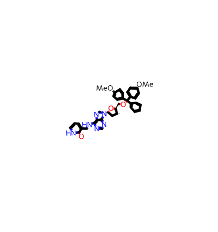 COc1ccc(C(OC[C@H]2[CH]C[C@H](n3cnc4c(NCc5ccc[nH]c5=O)ncnc43)O2)(c2ccccc2)c2ccc(OC)cc2)cc1